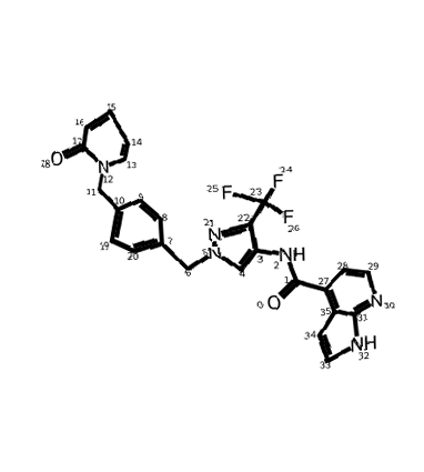 O=C(Nc1cn(Cc2ccc(Cn3ccccc3=O)cc2)nc1C(F)(F)F)c1ccnc2[nH]ccc12